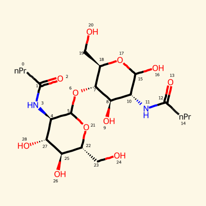 CCCC(=O)N[C@H]1C(O[C@H]2[C@H](O)[C@@H](NC(=O)CCC)C(O)O[C@@H]2CO)O[C@H](CO)[C@@H](O)[C@@H]1O